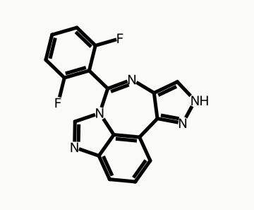 Fc1cccc(F)c1C1=Nc2c[nH]nc2-c2cccc3ncn1c23